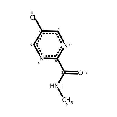 CNC(=O)c1ncc(Cl)cn1